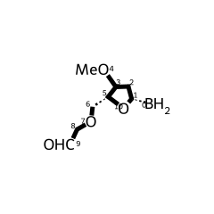 B[C@H]1CC(OC)[C@@H](COCC=O)O1